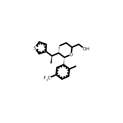 Cc1ccc(C(F)(F)F)cc1[C@H]1OC(CO)CC[C@H]1[C@@H](C)c1ccsc1